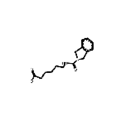 O=C(O)CCCCCNC(=O)N1Cc2ccccc2C1